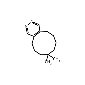 CC1(C)CCCCc2cnncc2CCC1